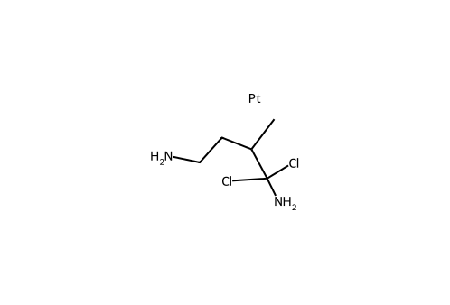 CC(CCN)C(N)(Cl)Cl.[Pt]